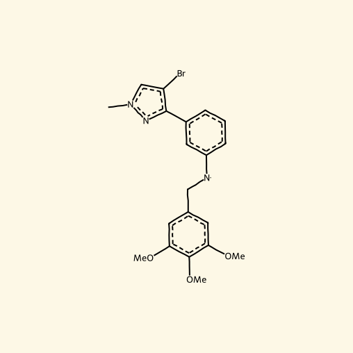 COc1cc(C[N]c2cccc(-c3nn(C)cc3Br)c2)cc(OC)c1OC